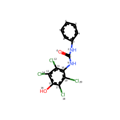 O=C(Nc1ccccc1)Nc1c(Cl)c(Cl)c(O)c(Cl)c1Cl